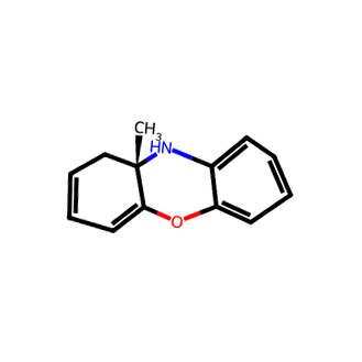 C[C@]12CC=CC=C1Oc1ccccc1N2